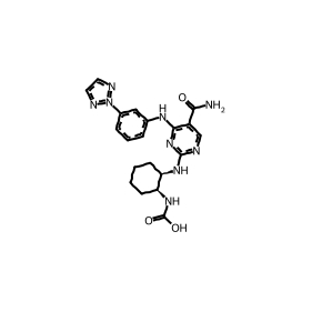 NC(=O)c1cnc(N[C@@H]2CCCC[C@@H]2NC(=O)O)nc1Nc1cccc(-n2nccn2)c1